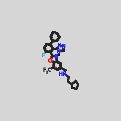 Cn1cnnc1-c1c(-c2ccccc2)ccc(F)c1-c1nc2cc(CNCCC3CCCC3)cc(C(F)(F)F)c2o1